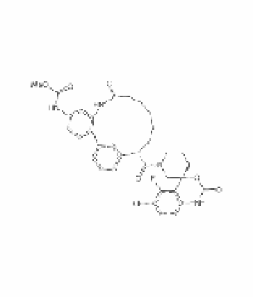 COC(=O)Nc1ccc2c(c1)NC(=O)CCCCC[C@H](C(=O)N1CCC[C@@]3(C1)OC(=O)Nc1ccc(Cl)c(F)c13)c1cc-2ccn1